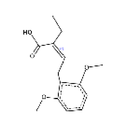 CC/C(=C/Cc1c(OC)cccc1OC)C(=O)O